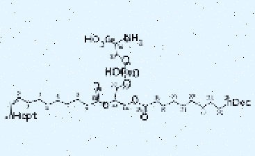 CCCCCCC/C=C\CCCCCCCC(=O)O[C@H](COC(=O)CCCCCCCCCCCCCCCCCC)COP(=O)(O)OC[C@H](N)C(=O)O